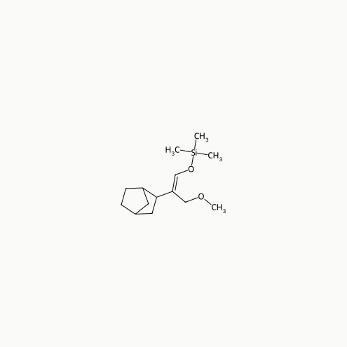 COCC(=CO[Si](C)(C)C)C1CC2CCC1C2